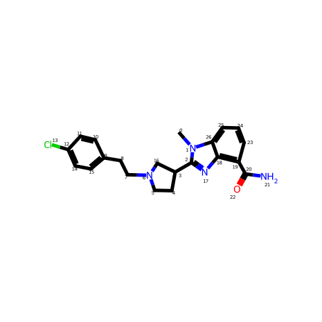 Cn1c(C2CCN(CCc3ccc(Cl)cc3)C2)nc2c(C(N)=O)cccc21